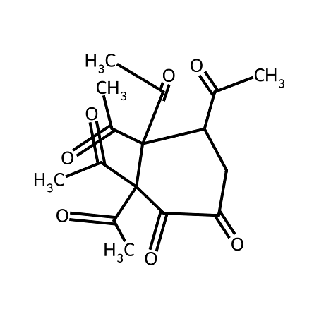 CC(=O)C1CC(=O)C(=O)C(C(C)=O)(C(C)=O)C1(C(C)=O)C(C)=O